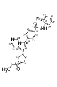 C=CC(=O)N1CCC(c2cc(-c3ccc(C(=O)Nc4ccccc4F)cc3)n3cnccc23)C1